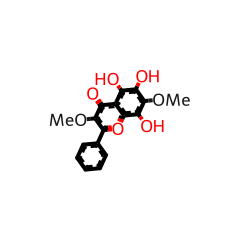 COc1c(O)c(O)c2c(=O)c(OC)c(-c3ccccc3)oc2c1O